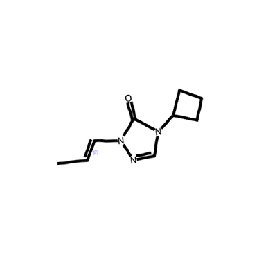 C/C=C/n1ncn(C2CCC2)c1=O